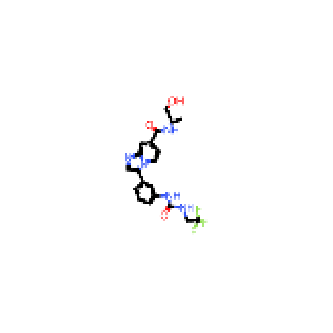 CC(CO)NC(=O)c1ccn2c(-c3cccc(NC(=O)NCC(F)(F)F)c3)cnc2c1